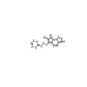 O=c1[nH]c2c3cc[nH]c3ncc2n1CCCN1CCOCC1